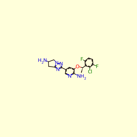 C[C@@H](Oc1cc(-c2nc3n(n2)CC(N)C3)cnc1N)c1c(F)ccc(F)c1Cl